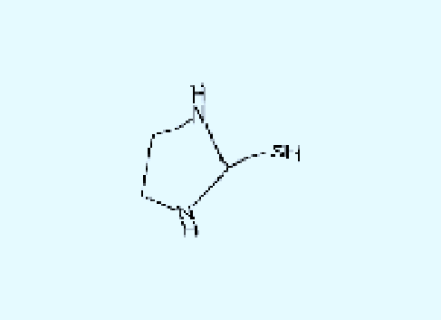 SC1NCCN1